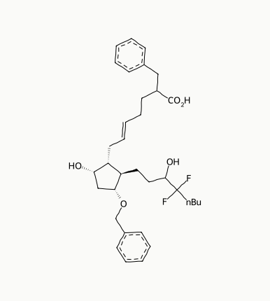 CCCCC(F)(F)C(O)CC[C@@H]1[C@@H](CC=CCCC(Cc2ccccc2)C(=O)O)[C@@H](O)C[C@H]1OCc1ccccc1